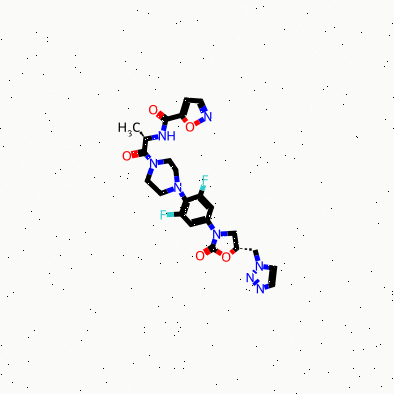 C[C@H](NC(=O)c1ccno1)C(=O)N1CCN(c2c(F)cc(N3C[C@H](Cn4ccnn4)OC3=O)cc2F)CC1